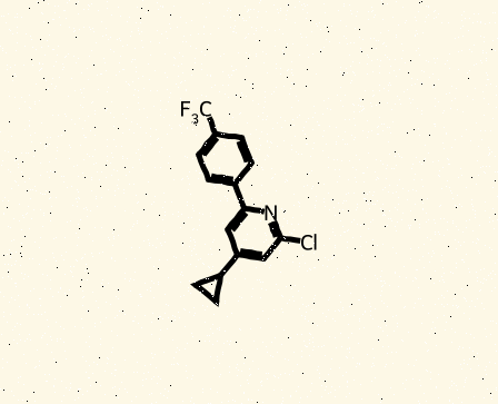 FC(F)(F)c1ccc(-c2cc(C3CC3)cc(Cl)n2)cc1